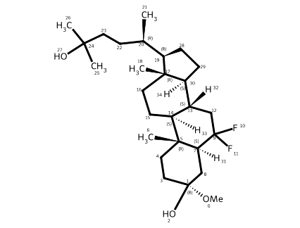 CO[C@]1(O)CC[C@@]2(C)[C@H](C1)C(F)(F)C[C@@H]1[C@@H]2CC[C@]2(C)[C@@H]([C@H](C)CCC(C)(C)O)CC[C@@H]12